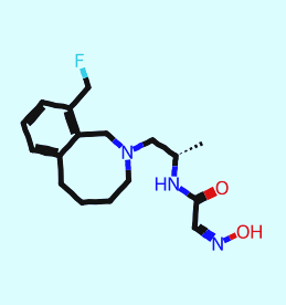 C[C@@H](CN1CCCCc2cccc(CF)c2C1)NC(=O)/C=N\O